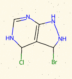 ClC1NC=NC2=C1C(Br)NN2